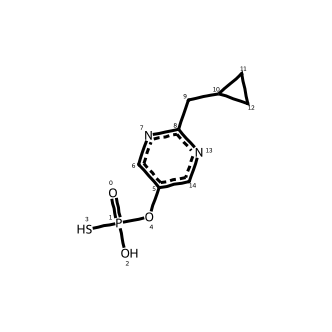 O=P(O)(S)Oc1cnc(CC2CC2)nc1